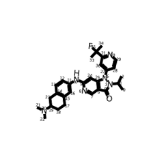 CC(C)n1c(=O)c2cnc(Nc3ccc4c(c3)CCC(N(C)C)C4)cc2n1-c1ccnc(C(C)(C)F)c1